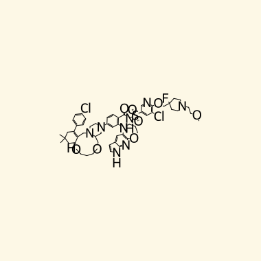 COCCN1CCC(F)(COc2ncc(S(=O)(=O)NC(=O)c3ccc(N4CCN5CC6=C(c7ccc(Cl)cc7)CC(C)(C)C[C@H]6OCCCOCC5C4)cc3N3CCCOc4nc5[nH]ccc5cc43)cc2Cl)CC1